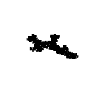 COc1nc2[nH]cc(F)c2cc1Oc1cc(N2CCC3(CC2)CC(N2CCN(Cc4ccnc5c4CCO5)C[C@H]2c2ccccc2C(C)C)C3)ccc1C(=O)NS(=O)(=O)c1cnc(NCC2CCC(C)(O)CC2)c([N+](=O)[O-])c1